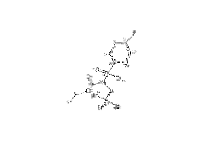 CCOC(=O)N(CC(Br)(Br)Br)S(=O)(=O)c1ccc(C)cc1